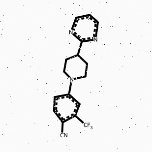 N#Cc1ccc(N2CCC(c3nc[c]cn3)CC2)cc1C(F)(F)F